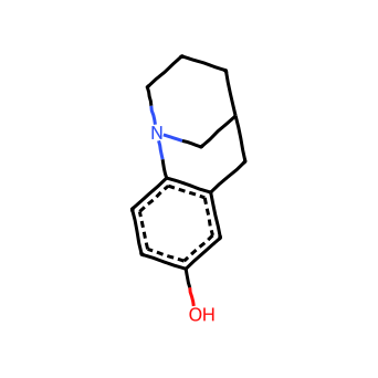 Oc1ccc2c(c1)CC1CCCN2C1